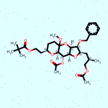 COC12CC[C@H](CCOC(=O)C(C)(C)C)O[C@@H]1[C@@H](OC(C)=O)[C@@H]1O[C@H](C[C@@H](C)COC(C)=O)[C@H](OCc3ccccc3)[C@@H]1O2